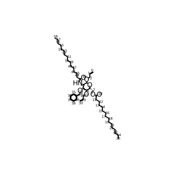 C=CCO[C@H]1O[C@H](COC(=O)CCCCCCCCCCCCCCC)[C@@H](OCC=C)[C@H](OCc2ccccc2)[C@@H]1NC(=O)CCCCCCCCCCCCCCC